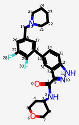 O=C(NC1CCOCC1)c1n[nH]c2ccc(-c3cc(CN4CCCCC4)cc(F)c3F)cc12